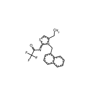 CCc1csc(=NC(=O)C(F)(F)F)n1Cc1cccc2ccccc12